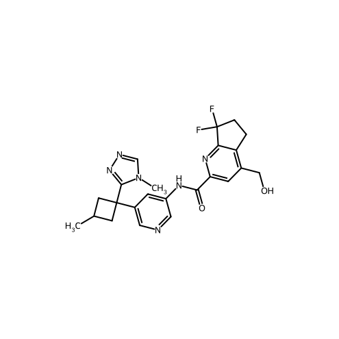 CC1CC(c2cncc(NC(=O)c3cc(CO)c4c(n3)C(F)(F)CC4)c2)(c2nncn2C)C1